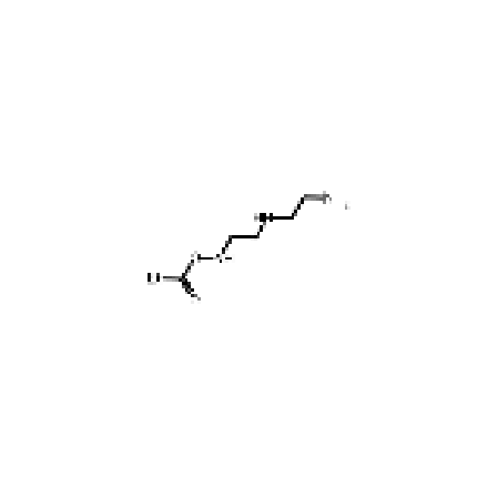 CCC(=O)ONCCNCCN